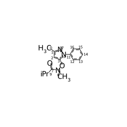 Cc1cc(ON(C)C(=O)C(C)C)n(-c2ccccc2)n1